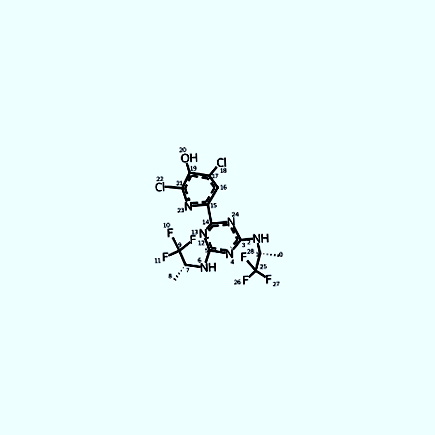 C[C@@H](Nc1nc(N[C@H](C)C(F)(F)F)nc(-c2cc(Cl)c(O)c(Cl)n2)n1)C(F)(F)F